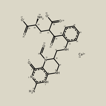 Nc1nc(=O)c2c([nH]1)NCC(CNc1ccccc1C(=O)C(C[C@H](N)C(=O)[O-])C(=O)[O-])N2C=O.[Ca+2]